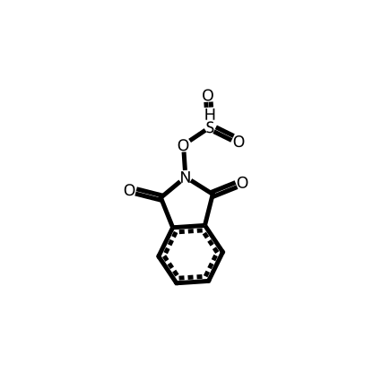 O=C1c2ccccc2C(=O)N1O[SH](=O)=O